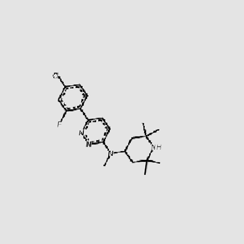 CN(c1ccc(-c2ccc(Cl)cc2F)nn1)C1CC(C)(C)NC(C)(C)C1